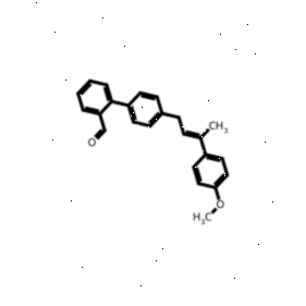 COc1ccc(C(C)=CCc2ccc(-c3ccccc3C=O)cc2)cc1